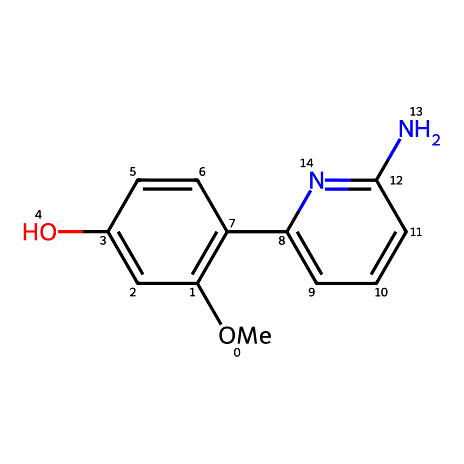 COc1cc(O)ccc1-c1cccc(N)n1